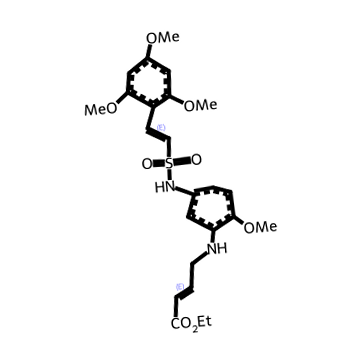 CCOC(=O)/C=C/CNc1cc(NS(=O)(=O)/C=C/c2c(OC)cc(OC)cc2OC)ccc1OC